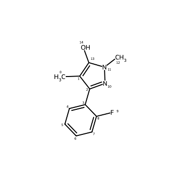 Cc1c(-c2ccccc2F)nn(C)c1O